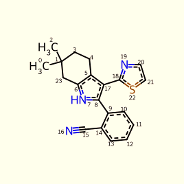 CC1(C)CCc2c([nH]c(-c3ccccc3C#N)c2-c2nccs2)C1